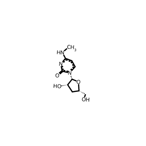 CNc1ccn([C@@H]2O[C@H](CO)C[C@@H]2O)c(=O)n1